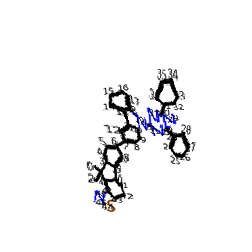 CC1(C)c2ccc(-c3ccc4c(c3)c3ccccc3n4-c3nc(-c4ccccc4)nc(-c4ccccc4)n3)cc2-c2ccc3scnc3c21